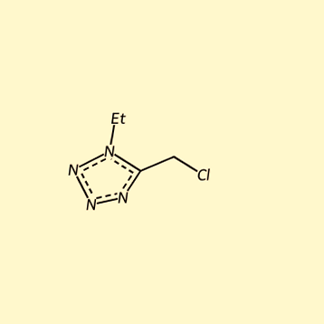 CCn1nnnc1CCl